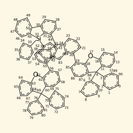 c1ccc(C2(c3ccccc3)c3ccccc3Oc3c(-c4cccc5c(-c6cccc7c6[Si](c6ccccc6)(c6ccccc6)c6ccccc6-7)c6cccc(-c7cccc8c7Oc7ccccc7C8(c7ccccc7)c7ccccc7)c6cc45)cccc32)cc1